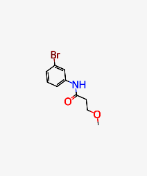 COCCC(=O)Nc1cccc(Br)c1